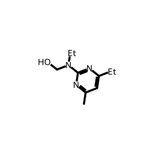 CCc1cc(C)nc(N(CC)CO)n1